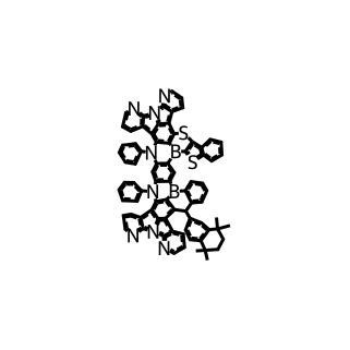 CC1(C)CCC(C)(C)c2cc(C3c4ccccc4B4c5cc6c(cc5N(c5ccccc5)c5c4c3c3c4cccnc4n4c7ncccc7c5c34)N(c3ccccc3)c3c4c(c5c7cccnc7n7c8ncccc8c3c57)Sc3c(sc5ccccc35)B64)ccc21